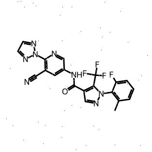 Cc1cccc(F)c1-n1ncc(C(=O)Nc2cnc(-n3nccn3)c(C#N)c2)c1C(F)(F)F